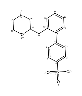 O=S(=O)(Cl)c1ccc(-c2ccccc2CC2CNCCO2)cc1